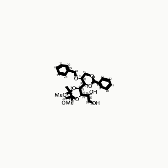 COC1(C)O[C@@H]([C@@H]2OC(c3ccccc3)OC[C@H]2OCc2ccccc2)[C@H]([C@@H](O)CO)OC1(C)OC